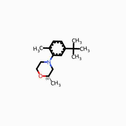 Cc1ccc(C(C)(C)C)cc1N1CCO[C@@H](C)C1